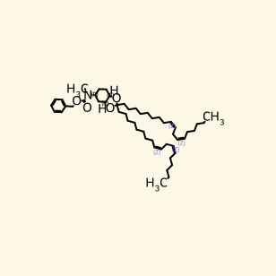 CCCCC/C=C\C/C=C\CCCCCCCCC1(CCCCCCCC/C=C\C/C=C\CCCCC)O[C@H]2CC[C@@H](N(C)C(=O)OCc3ccccc3)C[C@H]2O1